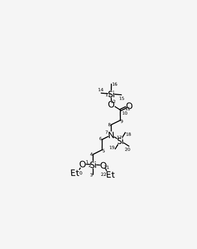 CCO[Si](C)(CCCN(CCC(=O)O[Si](C)(C)C)[Si](C)(C)C)OCC